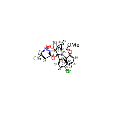 COC(=O)[C@@]12[C@H](C)[C@@H]1[C@@]1(O)c3ncc(Cl)cc3O[C@@]1(c1ccc(Br)cc1)[C@@H]2c1ccccc1